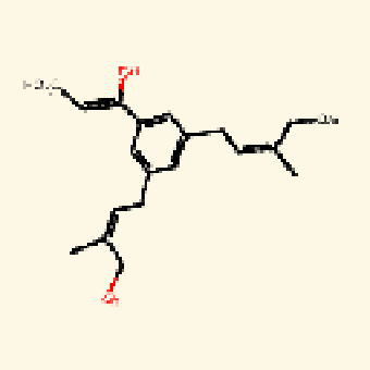 CC(=O)OC/C(C)=C\Cc1cc(C/C=C(/C)CO)cc(/C(O)=C/C(=O)O)c1